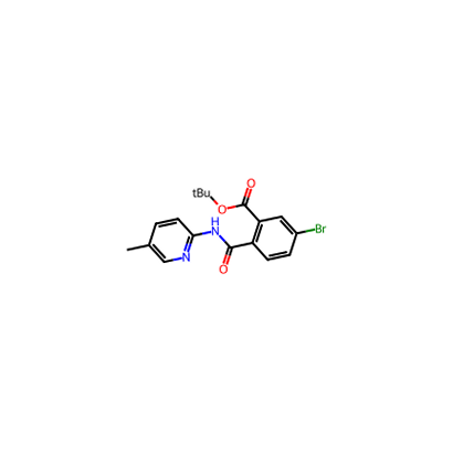 Cc1ccc(NC(=O)c2ccc(Br)cc2C(=O)OC(C)(C)C)nc1